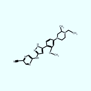 CCN1CCN(c2ccc(-c3cc(Nc4cnc(C#N)cn4)n[nH]3)c(OC)c2)CC1C